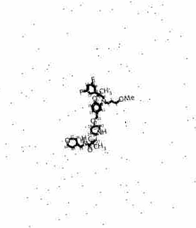 COCCCN1C[C@](C)(C2C=C(F)C=C(F)C2)Oc2ccc(CO[C@@H]3CC[C@@H](CC(C)(C)C(=O)NCC4CCOCC4)NC3)cc21